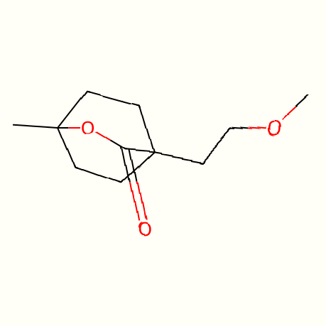 COCCC12CCC(C)(CC1)OC2=O